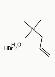 Br.C=CC[N+](C)(C)C.O